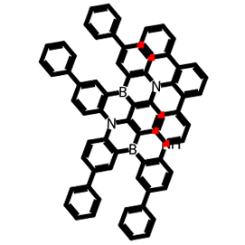 c1ccc(-c2ccc3c(c2)B2c4cc(-c5ccccc5)ccc4N4c5ccc(-c6ccccc6)cc5B5c6cc(-c7ccccc7)ccc6N(c6c(-c7ccccc7)cccc6-c6ccccc6)c6cc(c2c4c65)N3)cc1